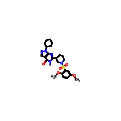 COc1ccc(OC)c(S(=O)(=O)N2CCCC(c3nc4c(cnn4C4CCCCC4)c(=O)[nH]3)C2)c1